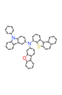 c1ccc(-n2c3ccccc3c3cc(N(c4ccc5c(c4)oc4ccccc45)c4cccc5c4sc4ccc6ccccc6c45)ccc32)cc1